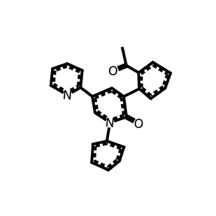 CC(=O)c1ccccc1-c1cc(-c2ccccn2)cn(-c2ccccc2)c1=O